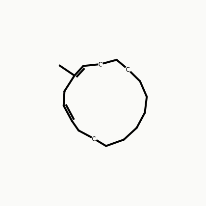 CC1=CCCCCCCCCCCCC=CC1